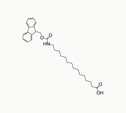 O=C(O)CCCCCCCCCCCCCCNC(=O)OCC1c2ccccc2-c2ccccc21